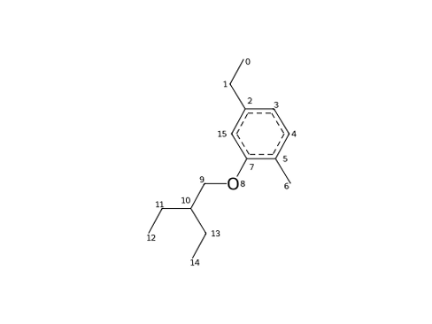 CCc1ccc(C)c(OCC(CC)CC)c1